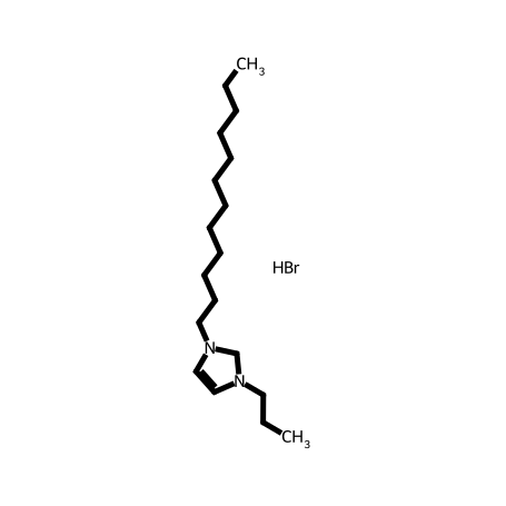 Br.CCCCCCCCCCCCN1C=CN(CCC)C1